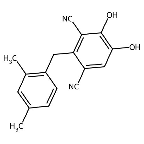 Cc1ccc(Cc2c(C#N)cc(O)c(O)c2C#N)c(C)c1